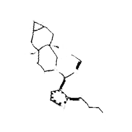 C\C=N/C(=c1/cc[nH]/c1=C\CCC)N1CC[C@@H]2CC3CC3C[C@]2(C)C1